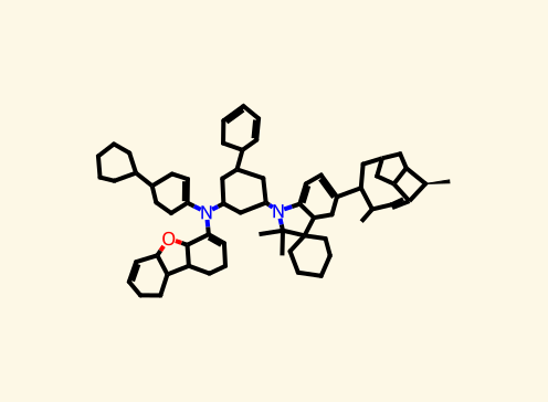 CC1/C=C2\C3CC(CC1C1=CC=C4C(C1)C1(CCCCC1)C(C)(C)N4C1CC(C4C=CC=CC4)CC(N(C4=CCC(C5CCCCC5)CC4)C4=CCCC5C4OC4C=CCCC45)C1)CC3[C@H]2C